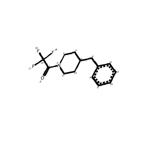 O=C(N1CCC(Cc2ccccc2)CC1)C(F)(F)F